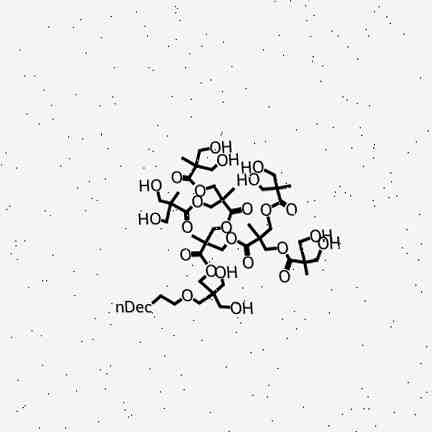 CCCCCCCCCCCCOCC(CO)(CO)COC(=O)C(C)(COC(=O)C(C)(COC(=O)C(C)(CO)CO)COC(=O)C(C)(CO)CO)COC(=O)C(C)(COC(=O)C(C)(CO)CO)COC(=O)C(C)(CO)CO